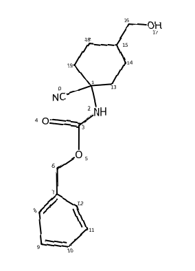 N#CC1(NC(=O)OCc2ccccc2)CCC(CO)CC1